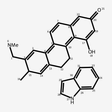 CNCC1=CC2=c3ccc4c(c3CCC2=CC1C)C(O)=CC(=O)C=4.c1ccc2[nH]ccc2c1